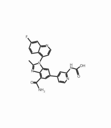 Cc1nc2c(C(N)=O)cc(-c3ccnc(NC(=O)O)c3)cc2n1-c1ccnc2cc(F)ccc12